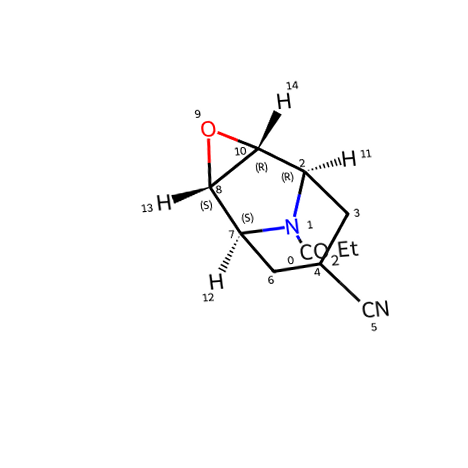 CCOC(=O)N1[C@@H]2CC(C#N)C[C@H]1[C@@H]1O[C@@H]12